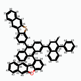 CC1CC(c2ccc3c(-c4ccc5c(c4)sc4cc6ccccc6cc45)c4ccccc4c(-c4cccc5oc6cc7ccccc7cc6c45)c3c2)=c2ccccc2=C1c1ccccc1